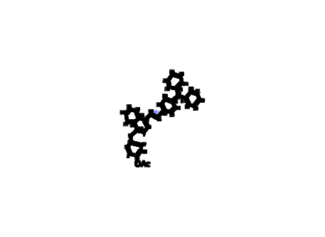 CC(=O)Oc1ccc(C[n+]2ccc(/C=C/c3ccc(N(c4ccccc4)c4ccccc4)cc3)c3ccccc32)cc1